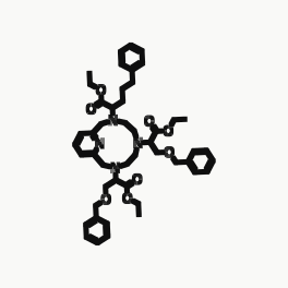 CCOC(=O)C(COCc1ccccc1)N1CCN(C(CCCc2ccccc2)C(=O)OCC)Cc2cccc(n2)CN(C(COCc2ccccc2)C(=O)OCC)CC1